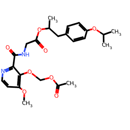 COc1ccnc(C(=O)NCC(=O)OC(C)Cc2ccc(OC(C)C)cc2)c1OCOC(C)=O